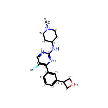 CC(=O)N1CCC(Nc2ncc(F)c(-c3cccc(C4COC4)c3)n2)CC1